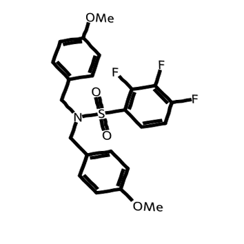 COc1ccc(CN(Cc2ccc(OC)cc2)S(=O)(=O)c2ccc(F)c(F)c2F)cc1